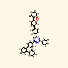 c1ccc(-c2nc(-c3ccc(-c4ccc5c(c4)oc4ccccc45)cc3)nc(-c3ccc4c5ccccc5c5ccccc5c4c3)n2)cc1